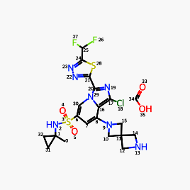 CC1(NS(=O)(=O)c2cc(N3CC4(CNC4)C3)c3c(Cl)nc(-c4nnc(C(F)F)s4)n3c2)CC1.O=CO